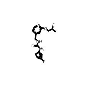 CC(F)COc1cc(CNC(=O)NC23CC(F)=C(C2)C3)ccn1